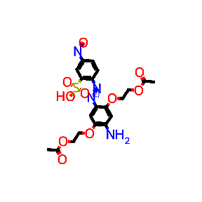 CC(=O)OCCOc1cc(/N=N/c2ccc(N=O)cc2S(=O)(=O)O)c(OCCOC(C)=O)cc1N